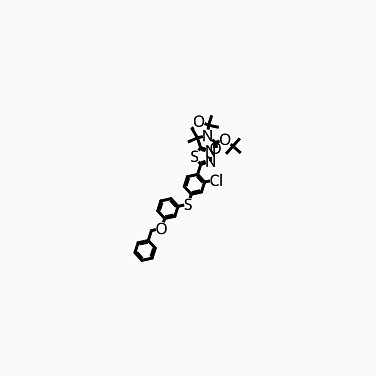 CC(C)(C)OC(=O)N1C(C)(C)OCC1(C)c1nnc(-c2ccc(Sc3cccc(OCc4ccccc4)c3)cc2Cl)s1